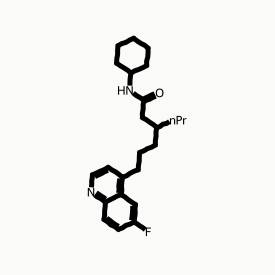 CCCC(CCCc1ccnc2ccc(F)cc12)CC(=O)NC1CCCCC1